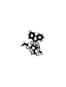 C/C=C\O[C@@H]1O[C@@H]2COC(C)O[C@H]2[C@@H](OCc2ccccc2)[C@H]1OCc1ccccc1